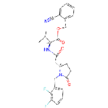 CC(C)[C@H](NC(=O)C[C@@H]1CCC(=O)N1Cc1cccc(F)c1F)C(=O)OCc1ccccc1C#N